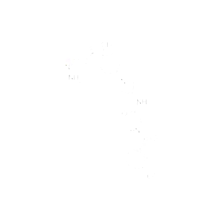 C=C(S/C=N\N)C1(O)CCC(N2CC(NC(=O)CNC(=O)c3cccc(C(F)(F)F)c3)C2)CC1